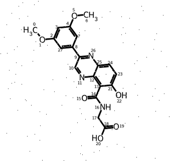 COc1cc(OC)cc(-c2cnc3c(C(=O)NCC(=O)O)c(O)ccc3n2)c1